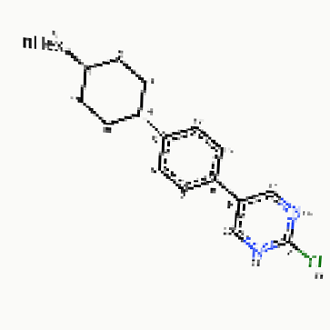 CCCCCC[C@H]1CC[C@H](c2ccc(-c3cnc(Cl)nc3)cc2)CC1